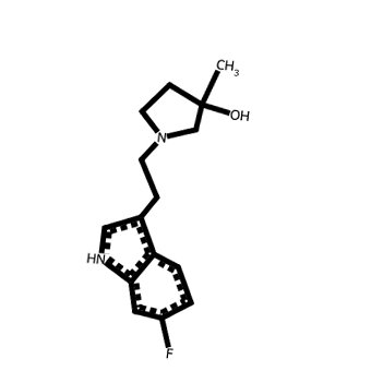 CC1(O)CCN(CCc2c[nH]c3cc(F)ccc23)C1